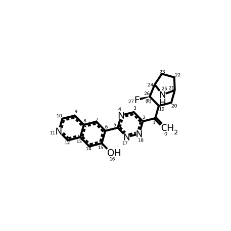 C=C(c1cnc(-c2cc3ccncc3cc2O)nn1)C1CC2CCC(N2)[C@@H]1F